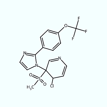 CS(=O)(=O)C1(n2ccnc2-c2ccc(OC(F)(F)F)cc2)C=NC=CC1Cl